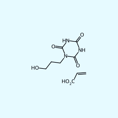 C=CC(=O)O.O=c1[nH]c(=O)n(CCCO)c(=O)[nH]1